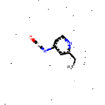 CCc1cc(N=C=O)ccn1